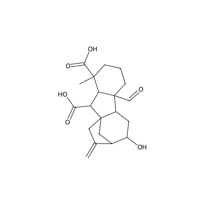 C=C1CC23CC1C(O)CC2C1(C=O)CCCC(C)(C(=O)O)C1C3C(=O)O